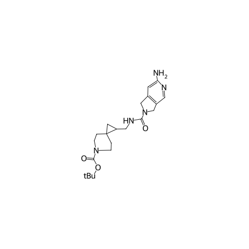 CC(C)(C)OC(=O)N1CCC2(CC1)CC2CNC(=O)N1Cc2cnc(N)cc2C1